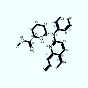 C=C/C=c1/nc(N(C(/C=C\C)=C/C)[C@H]2CCC[C@@H](C(=O)OC)O2)cc/c1=C/C